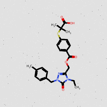 CCn1c(COC(=O)c2ccc(SC(C)(C)C(=O)O)cc2)nn(Cc2ccc(C)cc2)c1=O